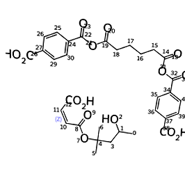 CC(O)CC(C)(C)OC(=O)/C=C\C(=O)O.O=C(CCCCC(=O)OC(=O)c1ccc(C(=O)O)cc1)OC(=O)c1ccc(C(=O)O)cc1